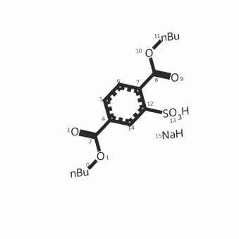 CCCCOC(=O)c1ccc(C(=O)OCCCC)c(S(=O)(=O)O)c1.[NaH]